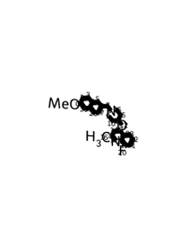 COc1ccc2cc(CN3CCC(Oc4cc(C)nc5c(F)cccc45)CC3)ccc2c1